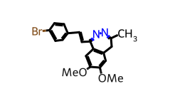 COc1cc2c(cc1OC)C(C=Cc1ccc(Br)cc1)=NN=C(C)C2